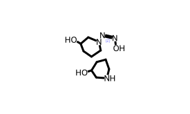 O/N=N\N1CCCC(O)C1.OC1CCCNC1